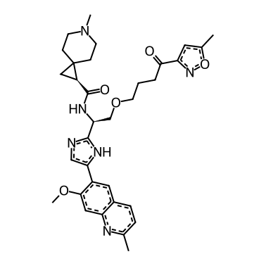 COc1cc2nc(C)ccc2cc1-c1cnc([C@H](COCCCC(=O)c2cc(C)on2)NC(=O)[C@H]2CC23CCN(C)CC3)[nH]1